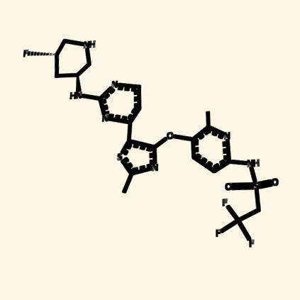 Cc1nc(Oc2ccc(NS(=O)(=O)CC(F)(F)F)nc2C)c(-c2ccnc(N[C@@H]3CNC[C@@H](F)C3)n2)s1